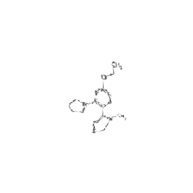 CCOc1ccc(C2=CSCN2C)c(N2CCCC2)c1